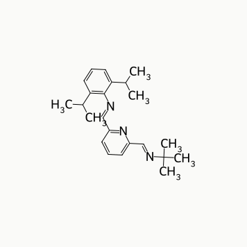 CC(C)c1cccc(C(C)C)c1/N=C/c1cccc(/C=N/C(C)(C)C)n1